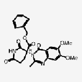 COc1cc2nc(C)n([C@]3(C(=O)OCc4ccccc4)CCC(=O)NC3=O)c(=O)c2cc1OC